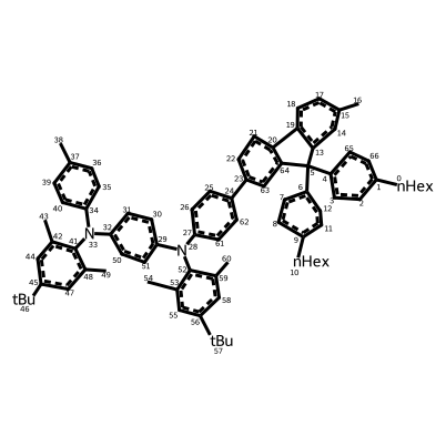 CCCCCCc1ccc(C2(c3ccc(CCCCCC)cc3)c3cc(C)ccc3-c3ccc(-c4ccc(N(c5ccc(N(c6ccc(C)cc6)c6c(C)cc(C(C)(C)C)cc6C)cc5)c5c(C)cc(C(C)(C)C)cc5C)cc4)cc32)cc1